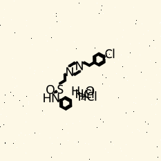 Cl.Cl.O.O=C(Nc1ccccc1)SCCCN1CCN(CCc2ccc(Cl)cc2)CC1